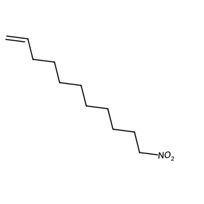 C=CCCCCCCCCC[N+](=O)[O-]